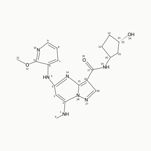 CNc1cc(Nc2cccnc2OC)nc2c(C(=O)NC3CC[C@H](O)C3)cnn12